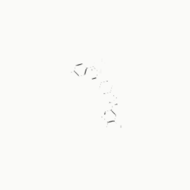 C[C@@H](NC(=O)[C@H]1CC[C@H](NS(=O)(=O)c2cnc(Cl)c(Br)c2)CC1)c1ccc(F)cc1